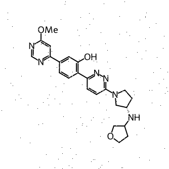 COc1cc(-c2ccc(-c3ccc(N4CC[C@H](NC5CCOC5)C4)nn3)c(O)c2)ncn1